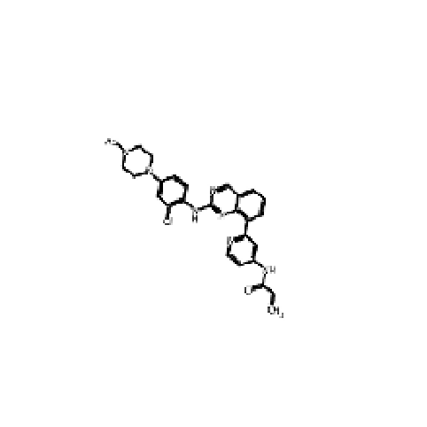 C=CC(=O)Nc1ccnc(-c2cccc3cnc(Nc4ccc(N5CCN(C(C)=O)CC5)cc4Cl)nc23)c1